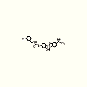 N=C(N)c1ccc2[nH]c(-c3ccc(OCC(=O)NCc4cccc(Cl)c4)cc3O)nc2c1